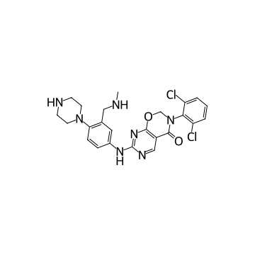 CNCc1cc(Nc2ncc3c(n2)OCN(c2c(Cl)cccc2Cl)C3=O)ccc1N1CCNCC1